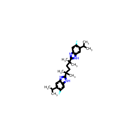 CC(C)c1cc2nc(C(C)(C)CCC(C)(C)c3nc4cc(F)c(C(C)C)cc4[nH]3)[nH]c2cc1F